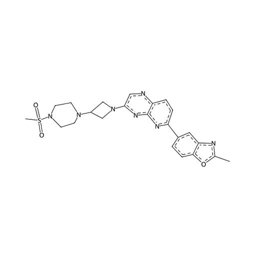 Cc1nc2cc(-c3ccc4ncc(N5CC(N6CCN(S(C)(=O)=O)CC6)C5)nc4n3)ccc2o1